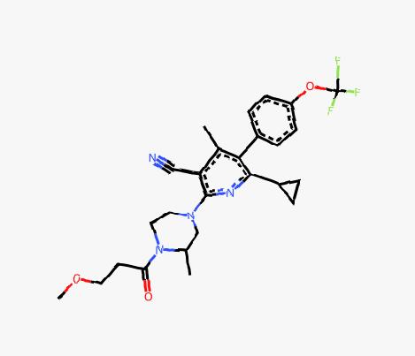 COCCC(=O)N1CCN(c2nc(C3CC3)c(-c3ccc(OC(F)(F)F)cc3)c(C)c2C#N)CC1C